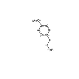 COc1ccc(C[CH]O)cc1